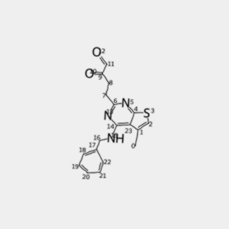 Cc1csc2nc(CCC(=O)C=O)nc(NCc3ccccc3)c12